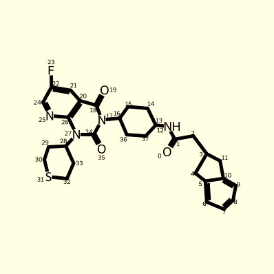 O=C(CC1Cc2ccccc2C1)NC1CCC(n2c(=O)c3cc(F)cnc3n(C3CCSCC3)c2=O)CC1